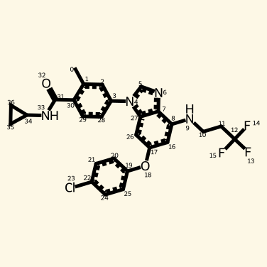 Cc1cc(-n2cnc3c(NCCC(F)(F)F)cc(Oc4ccc(Cl)cc4)cc32)ccc1C(=O)NC1CC1